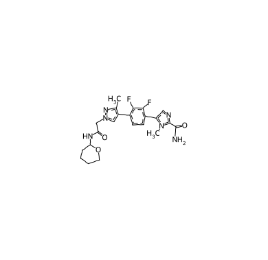 Cc1nn(CC(=O)NC2CCCCO2)cc1-c1ccc(-c2cnc(C(N)=O)n2C)c(F)c1F